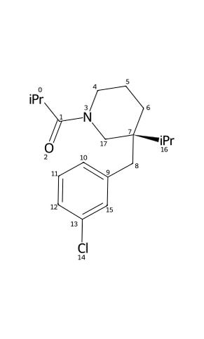 CC(C)C(=O)N1CCC[C@@](Cc2cccc(Cl)c2)(C(C)C)C1